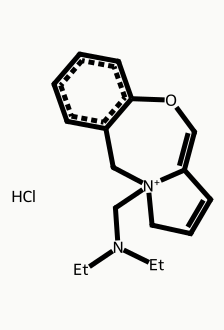 CCN(CC)C[N+]12CC=CC1=COc1ccccc1C2.Cl